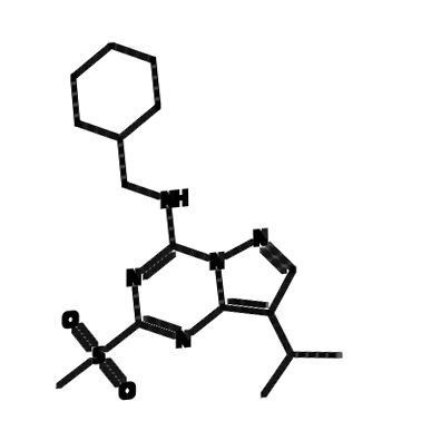 CC(C)c1cnn2c(NCC3CCCCC3)nc(S(C)(=O)=O)nc12